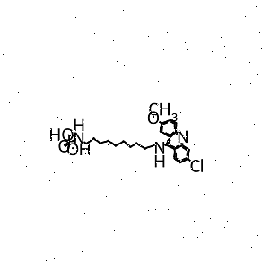 COc1ccc2nc3cc(Cl)ccc3c(NCCCCCCCCCCNP(=O)(O)O)c2c1